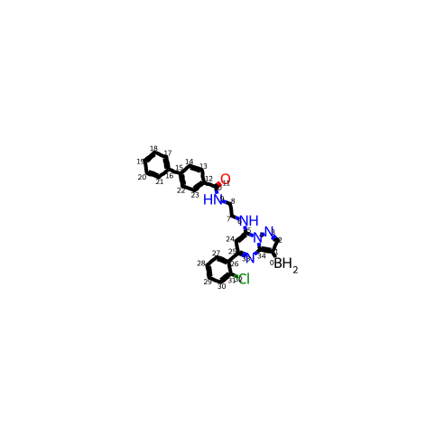 Bc1cnn2c(NCCNC(=O)c3ccc(-c4ccccc4)cc3)cc(-c3ccccc3Cl)nc12